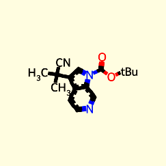 CC(C)(C)OC(=O)n1cc(C(C)(C)C#N)c2ccncc21